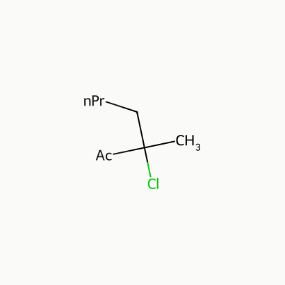 CCCCC(C)(Cl)C(C)=O